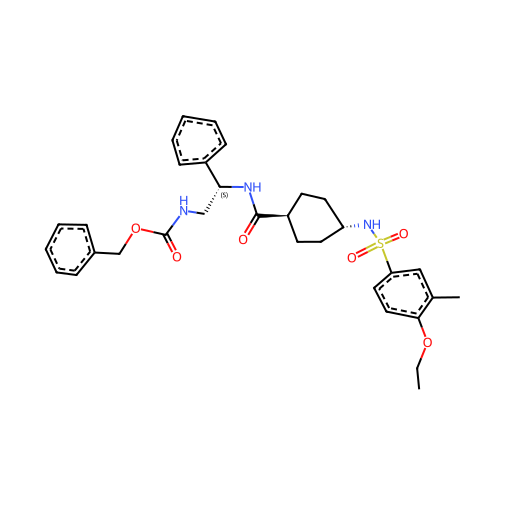 CCOc1ccc(S(=O)(=O)N[C@H]2CC[C@H](C(=O)N[C@H](CNC(=O)OCc3ccccc3)c3ccccc3)CC2)cc1C